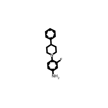 Nc1ccc(N2CCC(c3ccccc3)CC2)c(F)c1